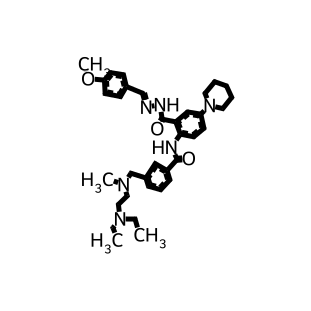 CCN(CC)CCN(C)Cc1cccc(C(=O)Nc2ccc(N3CCCCC3)cc2C(=O)NN=Cc2ccc(OC)cc2)c1